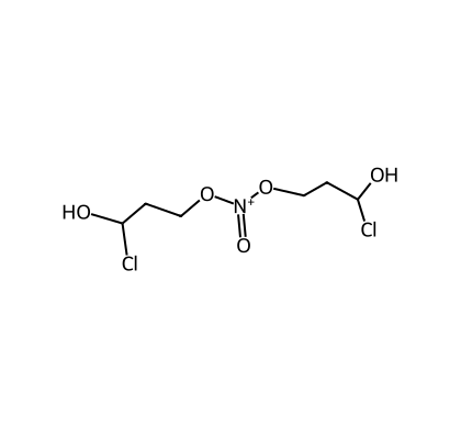 O=[N+](OCCC(O)Cl)OCCC(O)Cl